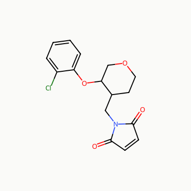 O=C1C=CC(=O)N1CC1CCOCC1Oc1ccccc1Cl